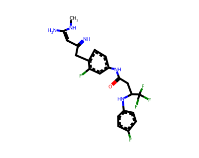 CN/C(N)=C\C(=N)Cc1ccc(NC(=O)CC(Nc2ccc(F)cc2)C(F)(F)F)cc1F